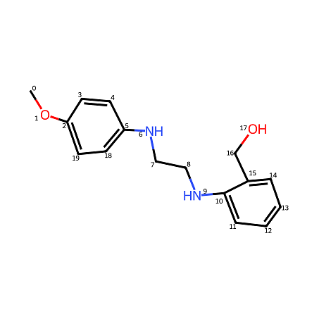 COc1ccc(NCCNc2ccccc2CO)cc1